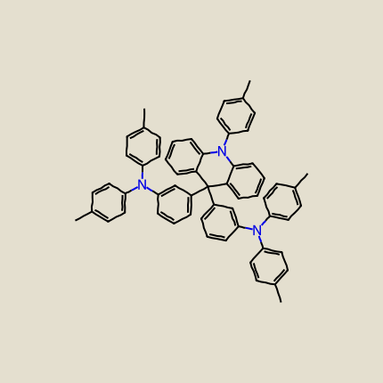 Cc1ccc(N(c2ccc(C)cc2)c2cccc(C3(c4cccc(N(c5ccc(C)cc5)c5ccc(C)cc5)c4)c4ccccc4N(c4ccc(C)cc4)c4ccccc43)c2)cc1